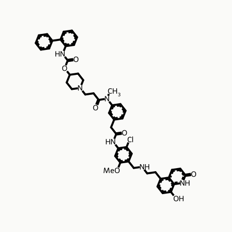 COc1cc(NC(=O)Cc2cccc(N(C)C(=O)CCN3CCC(OC(=O)Nc4ccccc4-c4ccccc4)CC3)c2)c(Cl)cc1CNCCc1ccc(O)c2[nH]c(=O)ccc12